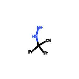 CC(C)C(C#N)(N[NH])C(C)C